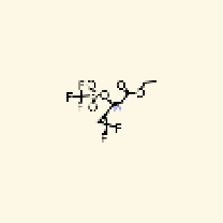 CCOC(=O)/C=C(\OS(=O)(=O)C(F)(F)F)C1CC1(F)F